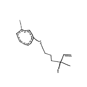 C=CC(C)(I)CCCSc1cccc(C)c1